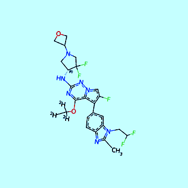 [2H]C([2H])([2H])Oc1nc(N[C@@H]2CN(C3COC3)CC2(F)F)nn2cc(F)c(-c3ccc4nc(C)n(CC(F)F)c4c3)c12